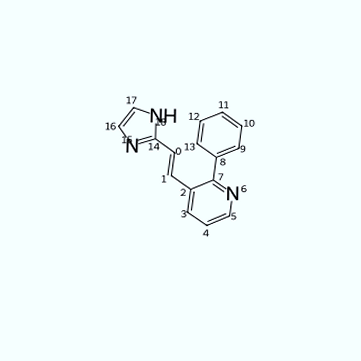 C(=Cc1cccnc1-c1ccccc1)c1ncc[nH]1